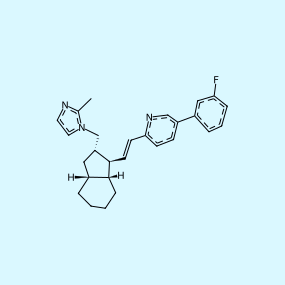 Cc1nccn1C[C@H]1C[C@H]2CCCC[C@H]2[C@@H]1C=Cc1ccc(-c2cccc(F)c2)cn1